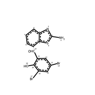 Nc1nc2ccccc2s1.O=Cc1cc(Br)cc(Br)c1O